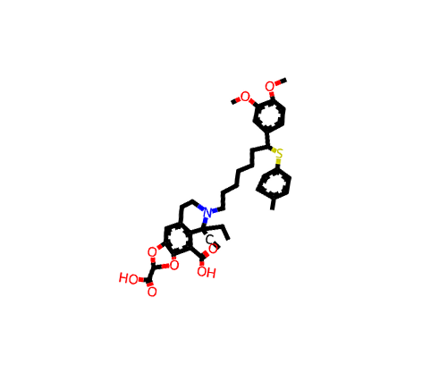 CCC1(CC)c2c(cc3c(c2C(=O)O)OC(C(=O)O)O3)CCN1CCCCCCC(Sc1ccc(C)cc1)c1ccc(OC)c(OC)c1